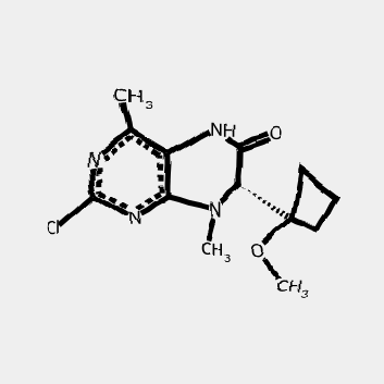 COC1([C@H]2C(=O)Nc3c(C)nc(Cl)nc3N2C)CCC1